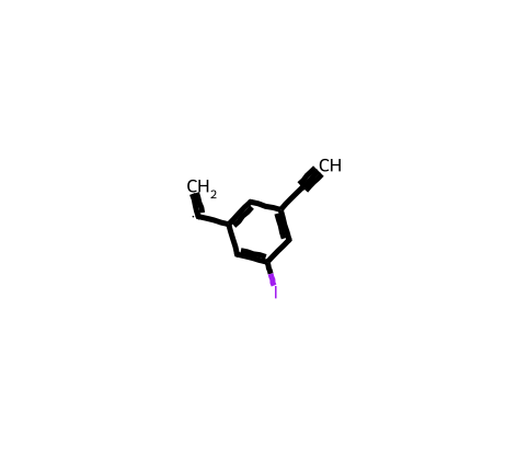 C#Cc1cc(I)cc([C]=C)c1